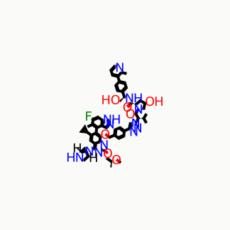 CO[C@@H](C)COc1nc(N2C[C@@H]3C[C@H]2CN3)c2cc(C3CC3)c(-c3c(C)c(F)cc4[nH]ncc34)c(OCc3ccc(-c4cn([C@H](C(=O)N5C[C@H](O)C[C@H]5C(=O)N[C@@H](CO)c5ccc(-c6cccnc6C)cc5)C(C)C)nn4)cc3)c2n1